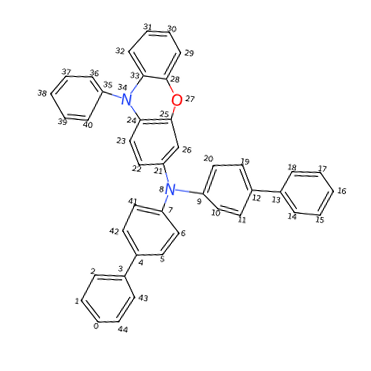 c1ccc(-c2ccc(N(c3ccc(-c4ccccc4)cc3)c3ccc4c(c3)Oc3ccccc3N4c3ccccc3)cc2)cc1